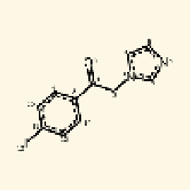 O=C(Cn1ccnc1)c1ccc(I)cc1